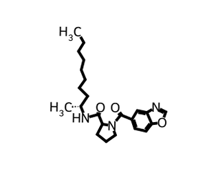 CCCCCCCC[C@@H](C)NC(=O)C1CCCN1C(=O)c1ccc2ocnc2c1